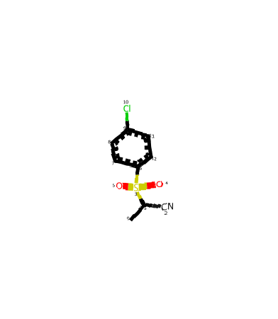 CC(C#N)S(=O)(=O)c1ccc(Cl)cc1